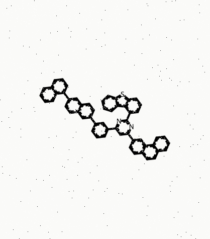 c1cc(-c2ccc3cc(-c4cccc5ccccc45)ccc3c2)cc(-c2cc(-c3ccc4ccc5ccccc5c4c3)nc(-c3cccc4sc5ccccc5c34)n2)c1